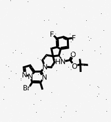 Cc1nc(N2CCC3(CC2)Cc2c(F)cc(F)cc2[C@H]3NC(=O)OC(C)(C)C)c2ccnn2c1Br